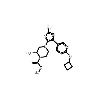 C[C@@H]1CN(c2sc(C(F)(F)F)nc2-c2cnc(OC3CCC3)nc2)CCN1C(=O)OC(C)(C)C